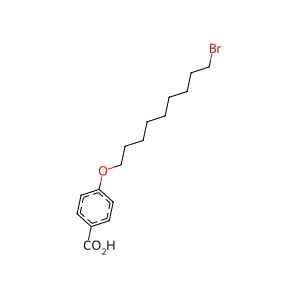 O=C(O)c1ccc(OCCCCCCCCCBr)cc1